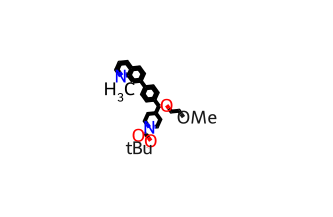 COCCOC(c1ccc(-c2ccc3cccnc3c2C)cc1)C1CCN(C(=O)OC(C)(C)C)CC1